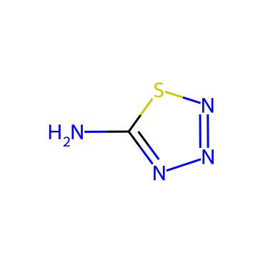 Nc1nnns1